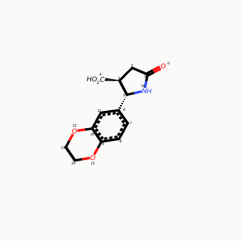 O=C1C[C@H](C(=O)O)[C@@H](c2ccc3c(c2)OCCO3)N1